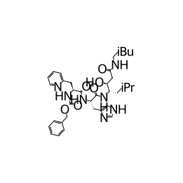 CCC(C)CNC(=O)C[C@H](O)[C@H](CC(C)C)NC(=O)[C@H](Cc1c[nH]cn1)NC(=O)[C@H](Cc1ccccn1)NC(=O)OCc1ccccc1